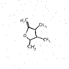 C=C1OC(C)C(C)C1C